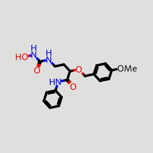 COc1ccc(COC(CCNC(=O)NO)C(=O)Nc2ccccc2)cc1